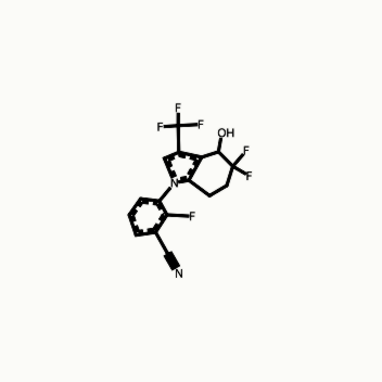 N#Cc1cccc(-n2cc(C(F)(F)F)c3c2CCC(F)(F)C3O)c1F